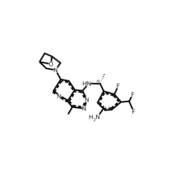 Cc1nnc(N[C@H](C)c2cc(N)cc(C(F)F)c2F)c2cc(N3CC4CC(C3)O4)cnc12